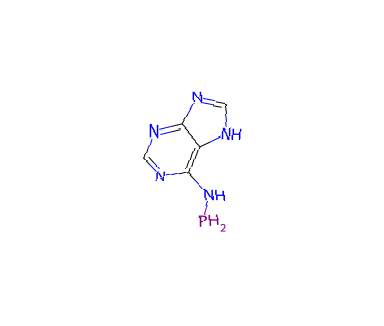 PNc1ncnc2nc[nH]c12